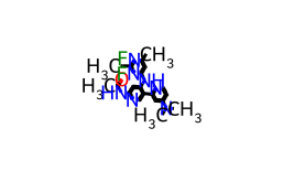 CC(=O)Nc1cc(Nc2cc(C)nc(C(C)(F)F)n2)c(-c2cc(N(C)C)ccn2)cn1